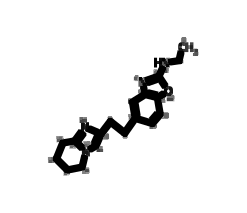 CCNc1nc2cc(CCc3cn4c(n3)CCCC4)ccc2o1